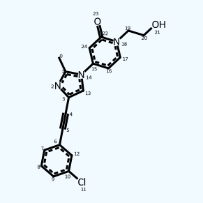 Cc1nc(C#Cc2cccc(Cl)c2)cn1-c1ccn(CCO)c(=O)c1